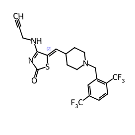 C#CCNC1=NC(=O)S/C1=C\C1CCN(Cc2cc(C(F)(F)F)ccc2C(F)(F)F)CC1